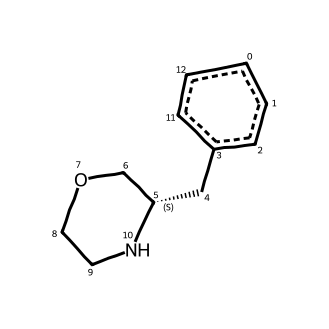 c1ccc(C[C@H]2COCCN2)cc1